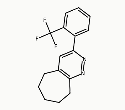 FC(F)(F)c1ccccc1-c1cc2c(nn1)CCCCC2